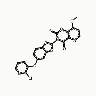 COc1ccnc2c(=O)n(-c3nc4ccc(Oc5cccnc5Cl)cc4s3)c(=S)oc12